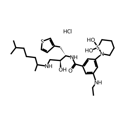 CCNc1cc(C(=O)N[C@@H](Cc2ccsc2)[C@@H](O)CNC(C)CCCC(C)C)cc(N2CCCCS2(O)O)c1.Cl